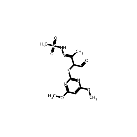 COc1cc(OC)nc(SC(C=O)C(C)=NNS(C)(=O)=O)n1